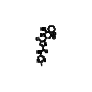 Cc1ncc(NC(=O)c2cc(Cl)c([C@@H]3CS(=O)(=O)C4(CCCCC4)C(=N)N3)s2)cn1